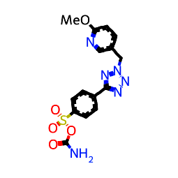 COc1ccc(Cn2nnc(-c3ccc(S(=O)(=O)OC(N)=O)cc3)n2)cn1